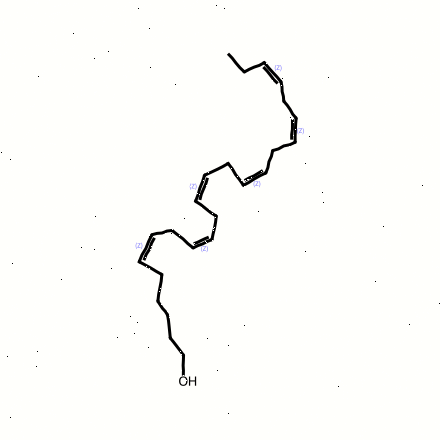 CC/C=C\C/C=C\C/C=C\C/C=C\C/C=C\C/C=C\CCCCCO